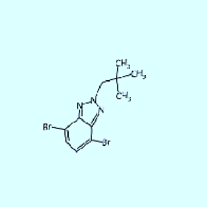 CC(C)(C)Cn1nc2c(Br)ccc(Br)c2n1